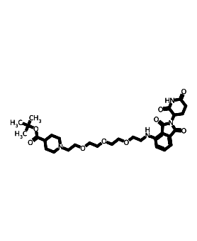 CC(C)(C)OC(=O)C1CCN(CCOCCOCCOCCNc2cccc3c2C(=O)N(C2CCC(=O)NC2=O)C3=O)CC1